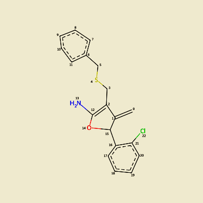 C=C1C(CSCc2ccccc2)=C(N)OC1c1ccccc1Cl